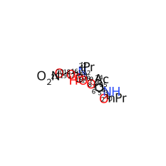 CCCC(=O)Nc1ccc(OCC(O)CN(C(=O)COCCO[N+](=O)[O-])C(C)C)c(C(C)=O)c1